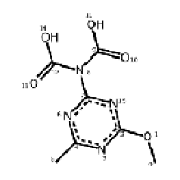 COc1nc(C)nc(N(C(=O)O)C(=O)O)n1